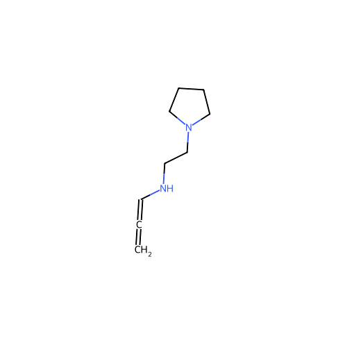 C=C=CNCCN1CCCC1